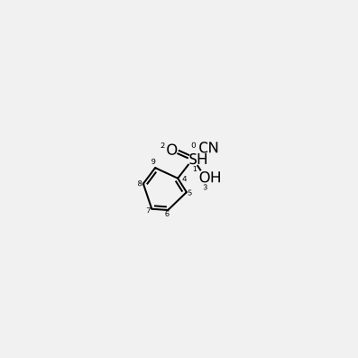 N#C[SH](=O)(O)c1ccccc1